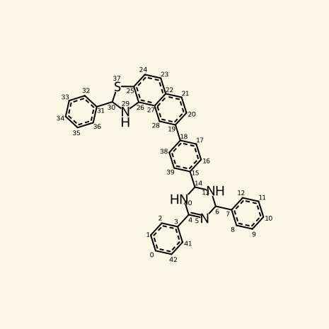 c1ccc(C2=NC(c3ccccc3)NC(c3ccc(-c4ccc5ccc6c(c5c4)NC(c4ccccc4)S6)cc3)N2)cc1